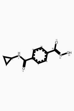 O=C(NC1CC1)c1ccc(C(Cl)=NO)cc1